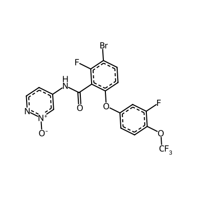 O=C(Nc1ccn[n+]([O-])c1)c1c(Oc2ccc(OC(F)(F)F)c(F)c2)ccc(Br)c1F